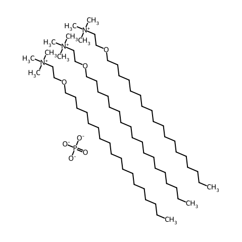 CCCCCCCCCCCCCCCCCCOCC[N+](C)(C)C.CCCCCCCCCCCCCCCCCCOCC[N+](C)(C)C.CCCCCCCCCCCCCCCCCCOCC[N+](C)(C)C.O=P([O-])([O-])[O-]